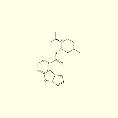 CC1CC[C@H](C(C)C)[C@@H](OC(=O)c2cccc3c2C2=CC=CC2O3)C1